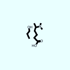 CC(CCCC(=O)O)N(C)C.CCCO